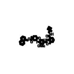 COc1cc(F)c(OC2CCC(C)(C(=O)OCc3cccc4ccccc34)CC2)cc1C(=O)Nc1c(C)cccc1C(=O)NCC1(C)CCC1